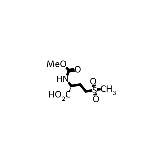 COC(=O)N[C@H](CCS(C)(=O)=O)C(=O)O